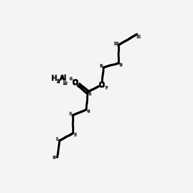 CCCCCC(=O)OCCCC.[AlH3]